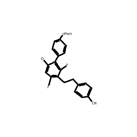 CCCCCc1ccc(-c2c([O])cc(F)c(CCc3ccc(C#N)cc3)c2F)cc1